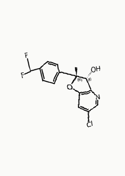 C[C@]1(c2ccc(C(F)F)cc2)Oc2cc(Cl)cnc2[C@H]1O